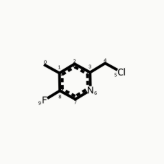 Cc1cc(CCl)ncc1F